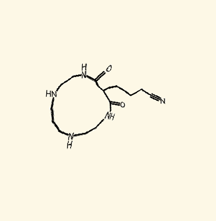 N#CCCCC1C(=O)NCCNCCCNCCNC1=O